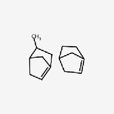 C1=C2CCC(C1)C2.CC1CC2=CCC1C2